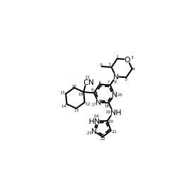 CC1COCCN1c1cc(C2(C#N)CCCCC2)nc(Nc2ccn[nH]2)n1